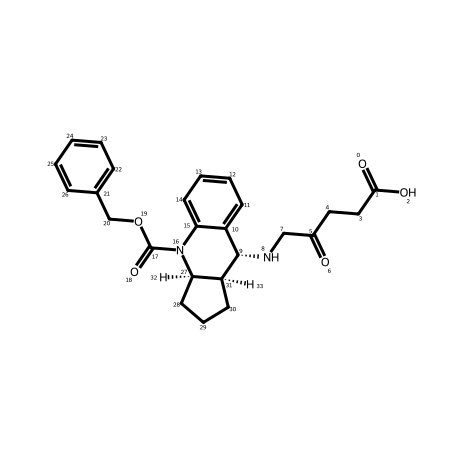 O=C(O)CCC(=O)CN[C@H]1c2ccccc2N(C(=O)OCc2ccccc2)[C@@H]2CCC[C@@H]21